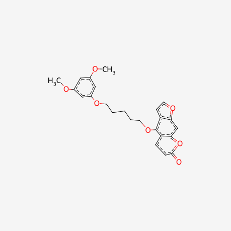 COc1cc(OC)cc(OCCCCCOc2c3ccoc3cc3oc(=O)ccc23)c1